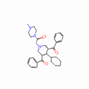 CN1CCN(C(=O)CN2CC(C(=O)c3ccccc3)C(C3CCCCC3)C(C(=O)c3ccccc3)C2)CC1